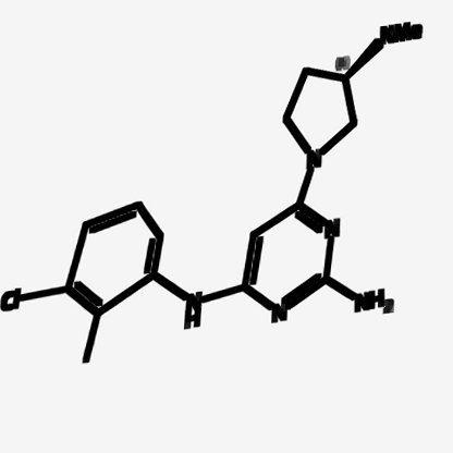 CN[C@@H]1CCN(c2cc(Nc3cccc(Cl)c3C)nc(N)n2)C1